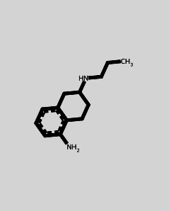 CCCNC1CCc2c(N)cccc2C1